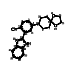 Clc1ccc(N2CCC3(CC2)OCCO3)cc1-c1nc2ccccc2[nH]1